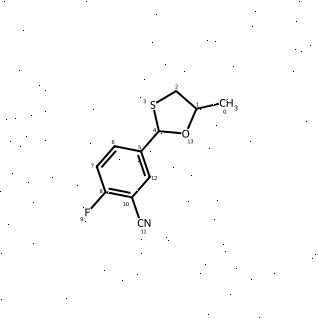 CC1CSC(c2ccc(F)c(C#N)c2)O1